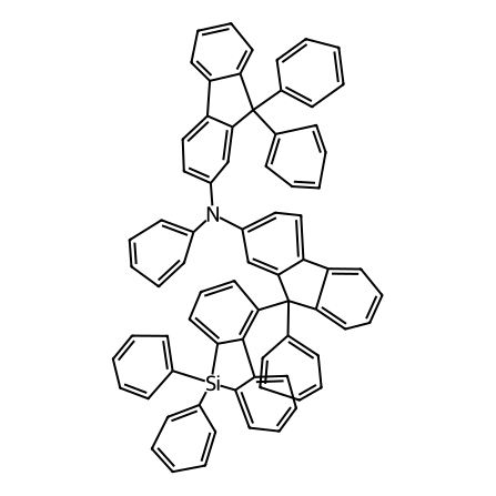 c1ccc(N(c2ccc3c(c2)C(c2ccccc2)(c2ccccc2)c2ccccc2-3)c2ccc3c(c2)C(c2ccccc2)(c2cccc4c2-c2ccccc2[Si]4(c2ccccc2)c2ccccc2)c2ccccc2-3)cc1